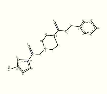 O=C(CN1CCN(C(=O)OCc2ccccc2)CC1)c1ccc(Cl)s1